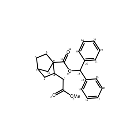 COC(=O)CC1CC2CCC1(C(=O)OC(c1ccccc1)c1ccccc1)C2